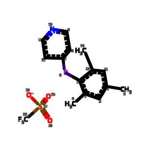 Cc1cc(C)c([I+]c2ccncc2)c(C)c1.O=S(=O)([O-])C(F)(F)F